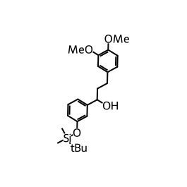 COc1ccc(CCC(O)c2cccc(O[Si](C)(C)C(C)(C)C)c2)cc1OC